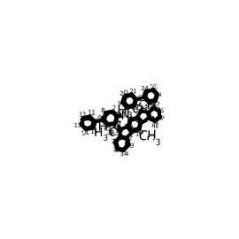 Cc1c2c(c(N(c3ccc(-c4ccccc4)cc3)c3cccc(-c4ccccc4)c3)c3c1-c1ccccc1C3(C)C)C(C)(C)c1ccccc1-2